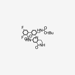 CC(C)(C)OC(=O)NCc1ccc(-c2cc(F)cc(F)c2S(=O)(=O)Nc2cnc3c(c2)C(=O)NCC3)cc1